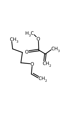 C=C(C)C(=O)OC.C=COCCCC